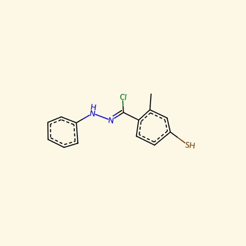 Cc1cc(S)ccc1C(Cl)=NNc1ccccc1